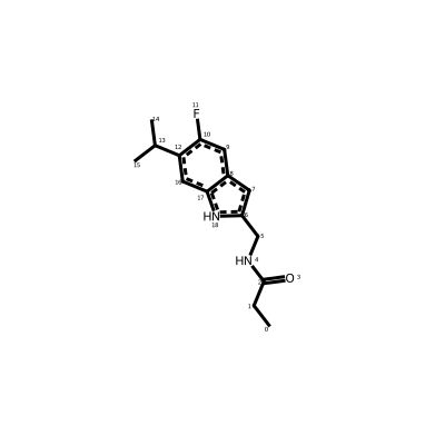 CCC(=O)NCc1cc2cc(F)c(C(C)C)cc2[nH]1